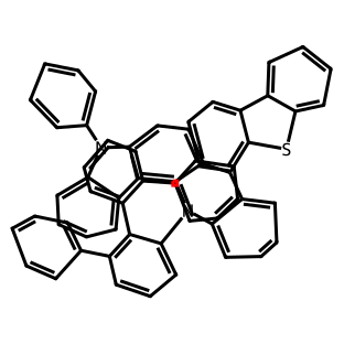 c1ccc(-c2ccccc2-c2c(-c3ccccc3)cccc2N(c2ccccc2-c2cccc3c2sc2ccccc23)c2cccc3c2c2ccccc2n3-c2ccccc2)cc1